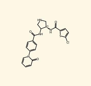 O=C(NC1CNC[C@H]1NC(=O)c1ccc(Cl)s1)c1ccc(-n2ccccc2=O)cc1